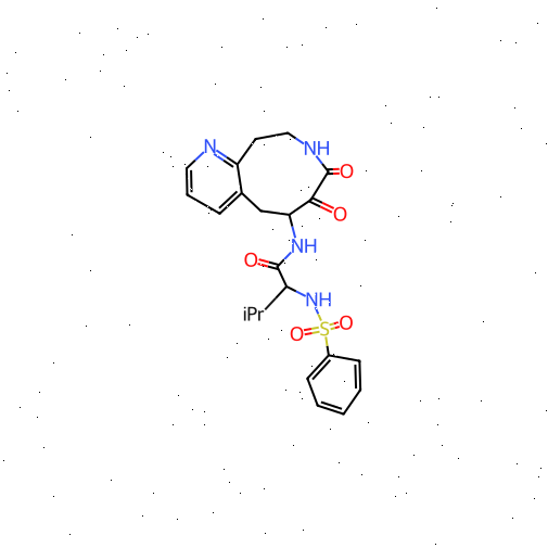 CC(C)C(NS(=O)(=O)c1ccccc1)C(=O)NC1Cc2cccnc2CCNC(=O)C1=O